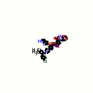 CC1(C)CCC(CN2CCN(c3ccc(C(=O)NS(=O)(=O)c4ccc(NCC5COCCOC5)c([N+](=O)[O-])c4)c(Oc4cnc5[nH]ccc5c4)c3)CC2)=C(c2ccc(Cl)cc2)C1